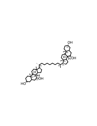 C[C@H](CCCCCCC[C@H](C)[C@@H]1CCC2[C@H]3[C@H](O)CC4C[C@@H](O)CC[C@@]4(C)[C@@H]3CC[C@]21C)[C@H]1CCC2[C@@H]3[C@@H](O)CC4C[C@H](O)CC[C@]4(C)[C@H]3CC[C@@]21C